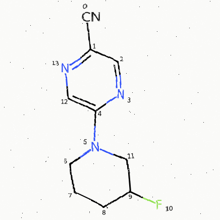 N#Cc1cnc(N2CC[CH]C(F)C2)cn1